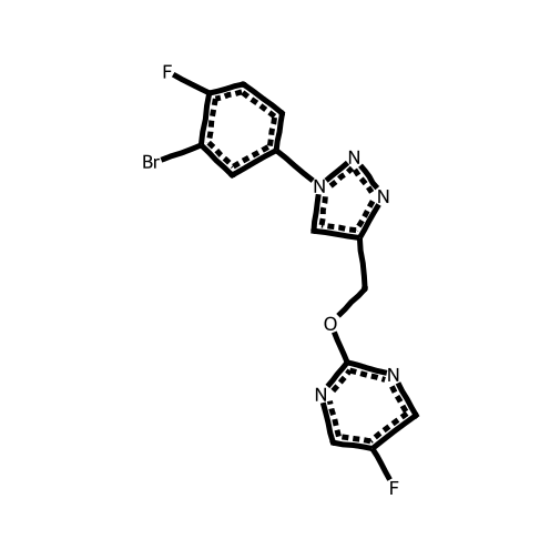 Fc1cnc(OCc2cn(-c3ccc(F)c(Br)c3)nn2)nc1